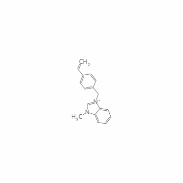 C=Cc1ccc(C[n+]2cn(C)c3ccccc32)cc1